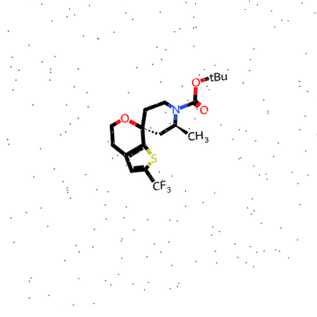 C[C@H]1C[C@@]2(CCN1C(=O)OC(C)(C)C)OCCc1cc(C(F)(F)F)sc12